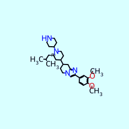 COc1ccc(-c2cn3c(n2)CC(C2CCN(C4CCNCC4)[C@H](CC(C)C)C2)CC3)cc1OC